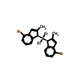 CC[Si](CC)([C@@H]1C(C)=Cc2c(Br)cccc21)[C@H]1C(C)=Cc2c(Br)cccc21